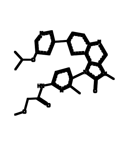 COCC(=O)Nc1ccc(-n2c(=O)n(C)c3cnc4ccc(-c5cncc(OC(C)C)c5)cc4c32)c(C)n1